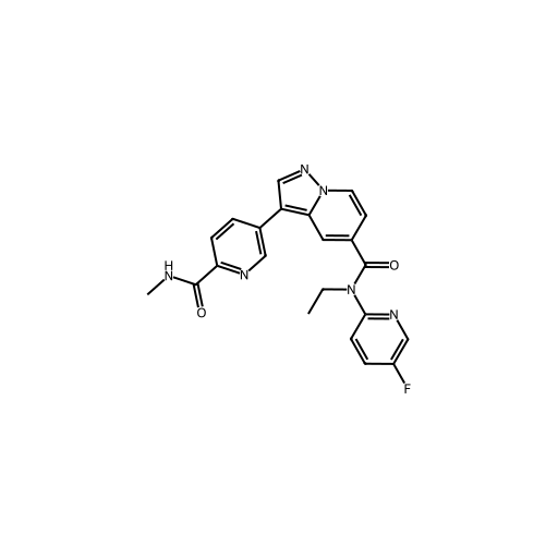 CCN(C(=O)c1ccn2ncc(-c3ccc(C(=O)NC)nc3)c2c1)c1ccc(F)cn1